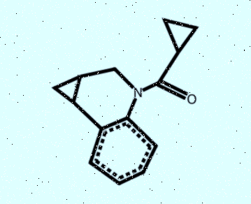 O=C(C1CC1)N1CC2CC2c2ccccc21